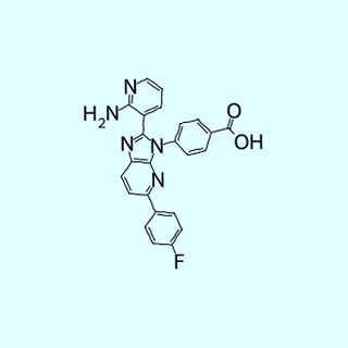 Nc1ncccc1-c1nc2ccc(-c3ccc(F)cc3)nc2n1-c1ccc(C(=O)O)cc1